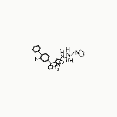 CC(c1ccc(-c2ccccc2)c(F)c1)c1cc(NC(=N)NCCN2CCCC2)on1